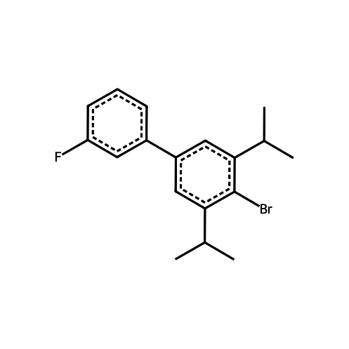 CC(C)c1cc(-c2cccc(F)c2)cc(C(C)C)c1Br